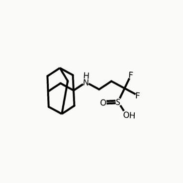 O=S(O)C(F)(F)CCNC12CC3CC(CC(C3)C1)C2